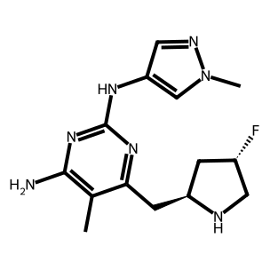 Cc1c(N)nc(Nc2cnn(C)c2)nc1C[C@H]1C[C@H](F)CN1